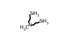 CN(CCC[SiH3])CCC[SiH3]